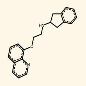 c1ccc2c(c1)CC(NCCOc1cccc3cccnc13)C2